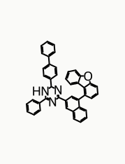 c1ccc(C2=NC(c3cc(-c4cccc5oc6ccccc6c45)c4ccccc4c3)=NC(c3ccc(-c4ccccc4)cc3)N2)cc1